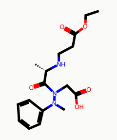 CCOC(=O)CCN[C@@H](C)C(=O)N(CC(=O)O)N(C)c1ccccc1